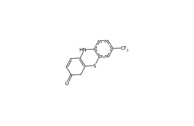 O=C1C=CC2=C(C1)Sc1cc(C(F)(F)F)ccc1N2